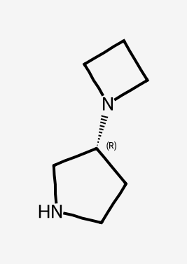 C1CN([C@@H]2CCNC2)C1